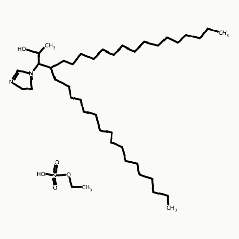 CCCCCCCCCCCCCCCCCC(CCCCCCCCCCCCCCCC)C(C(C)O)N1C=NCC1.CCOS(=O)(=O)O